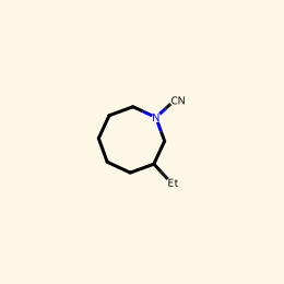 CCC1CCCCCN(C#N)C1